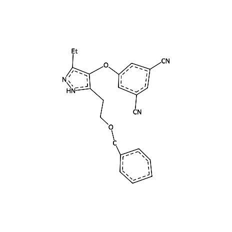 CCc1n[nH]c(CCOCc2ccccc2)c1Oc1cc(C#N)cc(C#N)c1